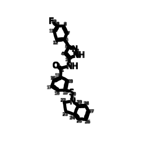 O=C(Nc1cc(-c2ccc(F)cc2)n[nH]1)c1cccc(SN2CCc3ccccc32)c1